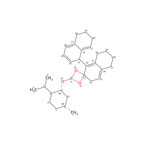 CC(C)C1CC[C@@H](C)C[C@H]1OP1OC2(CC=C3CCCCC3=C2C2C=CC=C3CCCC=C32)O1